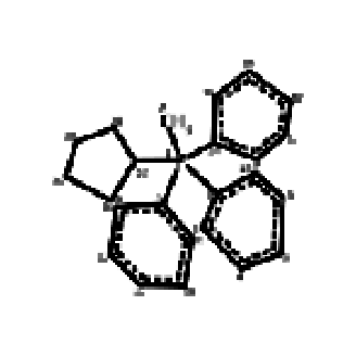 CP(c1ccccc1)(c1ccccc1)(c1ccccc1)C1CCCC1